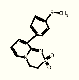 CSc1ccc(C2=CC=CN3CCS(=O)(=O)N=C23)cc1